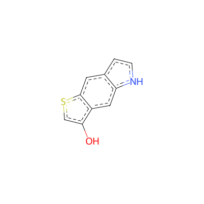 Oc1csc2cc3cc[nH]c3cc12